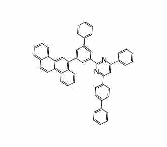 c1ccc(-c2ccc(-c3cc(-c4ccccc4)nc(-c4cc(-c5ccccc5)cc(-c5cc6c7ccccc7ccc6c6ccccc56)c4)n3)cc2)cc1